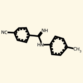 Cc1ccc(NC(=N)c2ccc(C#N)cc2)cc1